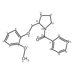 COc1ccccc1OCC1SCCN1C(=O)c1cccnc1